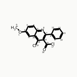 COc1ccc2nc(-c3ccccc3)c(C(=O)Cl)c(Cl)c2c1